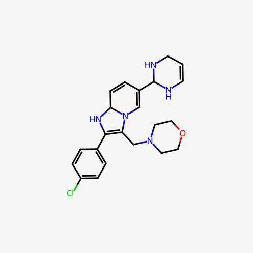 Clc1ccc(C2=C(CN3CCOCC3)N3C=C(C4NC=CCN4)C=CC3N2)cc1